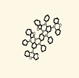 c1ccc(N2c3cc4c(cc3B3c5oc6ccccc6c5N(c5ccccc5)c5cc(N6c7ccccc7Oc7ccccc76)cc2c53)B2c3oc5ccccc5c3N(c3ccccc3)c3cc(N5c6ccccc6Oc6ccccc65)cc(c32)N4c2ccccc2)cc1